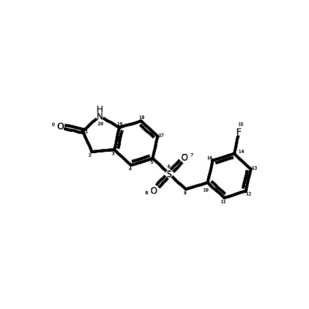 O=C1Cc2cc(S(=O)(=O)Cc3cccc(F)c3)ccc2N1